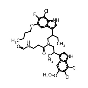 CCCCOc1cc2c(C(CC)CN(CC(C)c3c[nH]c4c(Cl)c(Cl)c(OC)cc34)C(=O)CCNC=O)c[nH]c2c(Cl)c1F